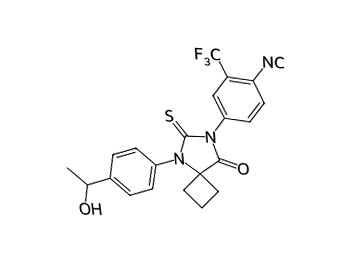 [C-]#[N+]c1ccc(N2C(=O)C3(CCC3)N(c3ccc(C(C)O)cc3)C2=S)cc1C(F)(F)F